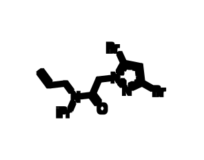 C=CCN(C(=O)Cn1nc(Br)cc1Br)C(C)C